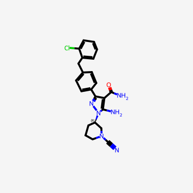 N#CN1CCC[C@@H](n2nc(-c3ccc(Cc4ccccc4Cl)cc3)c(C(N)=O)c2N)C1